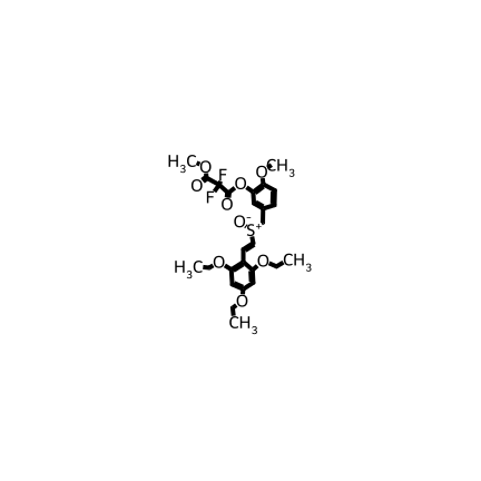 CCOc1cc(OCC)c(C=C[S+]([O-])Cc2ccc(OC)c(OC(=O)C(F)(F)C(=O)OC)c2)c(OCC)c1